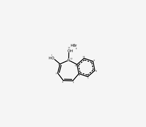 Br.OC1=CC=Cc2ccccc2N1O